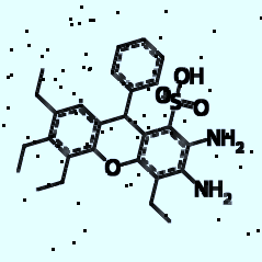 CCc1[c]c2c(c(CC)c1CC)Oc1c(CC)c(N)c(N)c(S(=O)(=O)O)c1C2c1ccccc1